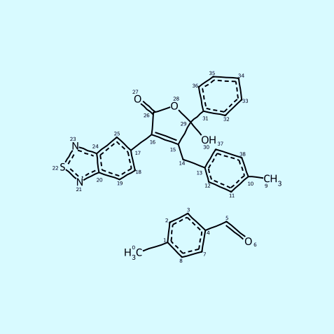 Cc1ccc(C=O)cc1.Cc1ccc(CC2=C(c3ccc4nsnc4c3)C(=O)OC2(O)c2ccccc2)cc1